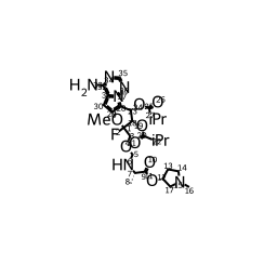 COC(F)(COCN[C@@H](C)C(=O)O[C@@H]1CCN(C)C1)[C@@H](OC(=O)C(C)C)[C@@H](OC(=O)C(C)C)c1ccc2c(N)ncnn12